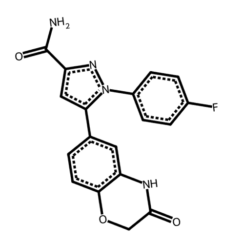 NC(=O)c1cc(-c2ccc3c(c2)NC(=O)CO3)n(-c2ccc(F)cc2)n1